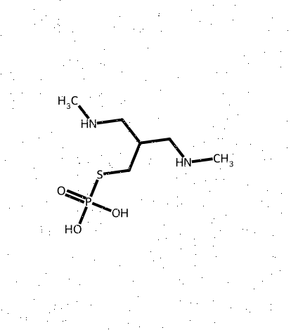 CNCC(CNC)CSP(=O)(O)O